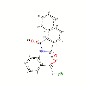 O=C(CBr)c1ccccc1N1C(=O)c2ccc3ccccc3c2C1=O